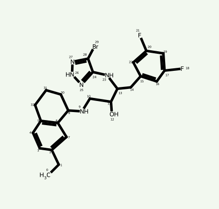 CCc1ccc2c(c1)C(NCC(O)C(Cc1cc(F)cc(F)c1)Nc1n[nH]nc1Br)CCC2